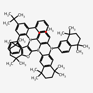 Cc1cc2c3c(c1)N(c1c(-c4ccccc4)cc(C(C)(C)C)cc1-c1ccccc1)c1c(oc4c1C(C)(C)CCC4(C)C)B3c1cc3c(cc1N2c1ccc2c(c1)C(C)(C)CCC2(C)C)C(C)(C)CCC3(C)C